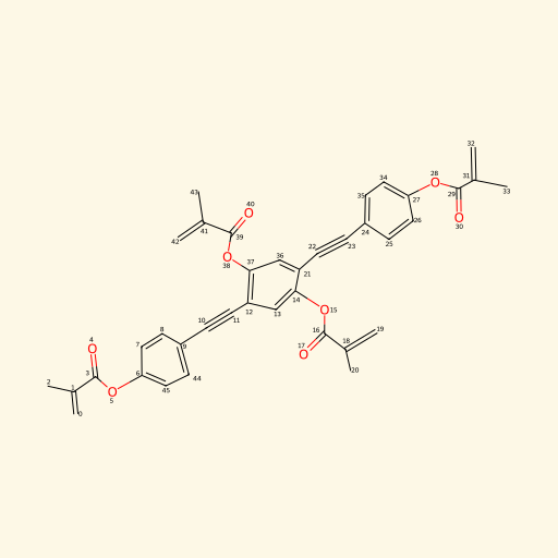 C=C(C)C(=O)Oc1ccc(C#Cc2cc(OC(=O)C(=C)C)c(C#Cc3ccc(OC(=O)C(=C)C)cc3)cc2OC(=O)C(=C)C)cc1